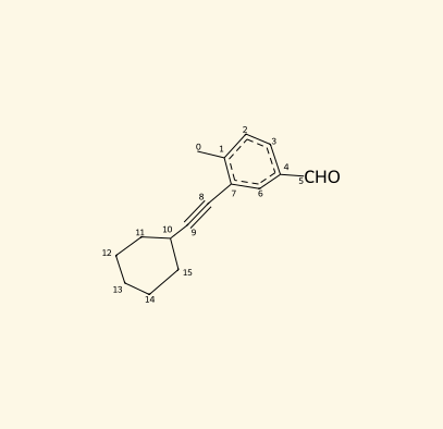 Cc1ccc(C=O)cc1C#CC1CCCCC1